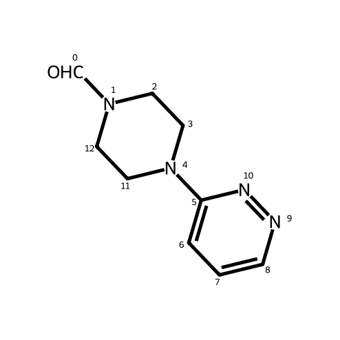 O=CN1CCN(c2cccnn2)CC1